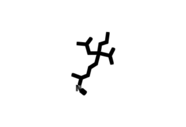 C=NC(C)CCCC(CCC)(CC(C)C)C(C)C